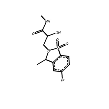 CNC(=O)C(O)CN1C(C)c2cc(Br)ccc2S1(=O)=O